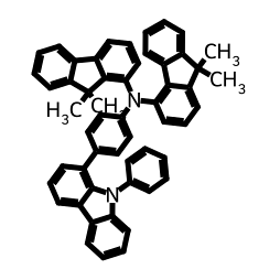 CC1(C)c2ccccc2-c2c(N(c3ccc(-c4cccc5c6ccccc6n(-c6ccccc6)c45)cc3)c3cccc4c3C(C)(C)c3ccccc3-4)cccc21